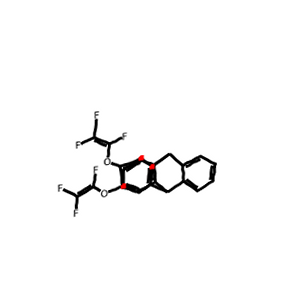 FC(F)=C(F)Oc1ccc2c(c1)C1c3ccccc3C2c2cc(OC(F)=C(F)F)ccc21